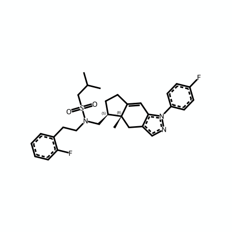 CC(C)CS(=O)(=O)N(CCc1ccccc1F)C[C@H]1CCC2=Cc3c(cnn3-c3ccc(F)cc3)C[C@@]21C